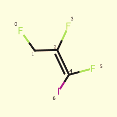 FCC(F)=C(F)I